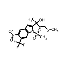 CSCCC(C)(O)c1cc2cc([N+](=O)[O-])c(C(F)(F)F)cc2n1S(C)(=O)=O